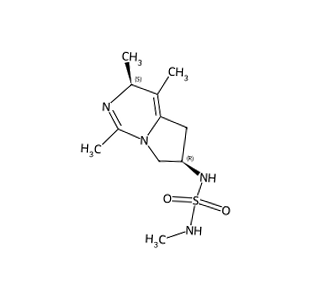 CNS(=O)(=O)N[C@@H]1CC2=C(C)[C@H](C)N=C(C)N2C1